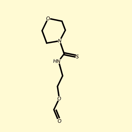 O=COCCNC(=S)N1CCOCC1